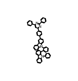 c1ccc(-c2cc(-c3ccc(-c4ccc5c(c4)c4ccccc4n5-c4ccccc4-c4cccc5c6ccccc6n(-c6ccccc6)c45)cc3)nc(-c3ccccc3)n2)cc1